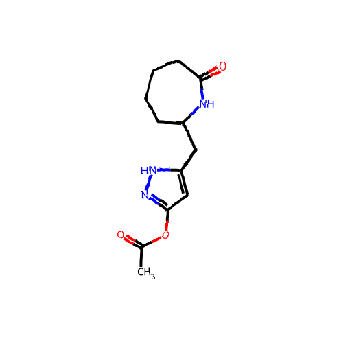 CC(=O)Oc1cc(CC2CCCCC(=O)N2)[nH]n1